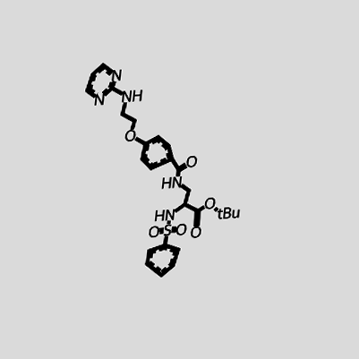 CC(C)(C)OC(=O)C(CNC(=O)c1ccc(OCCNc2ncccn2)cc1)NS(=O)(=O)c1ccccc1